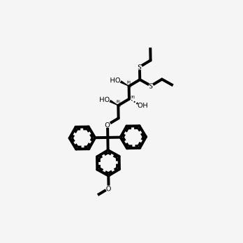 CCSC(SCC)[C@H](O)[C@H](O)[C@H](O)COC(c1ccccc1)(c1ccccc1)c1ccc(OC)cc1